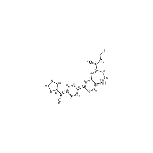 CCOC(=O)C1=Cc2cc(-c3ccc(C(=O)N4CCCC4)cc3)ccc2NCC1